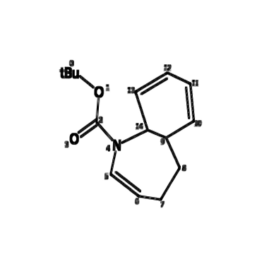 CC(C)(C)OC(=O)N1C=CCCC2C=CC=CC21